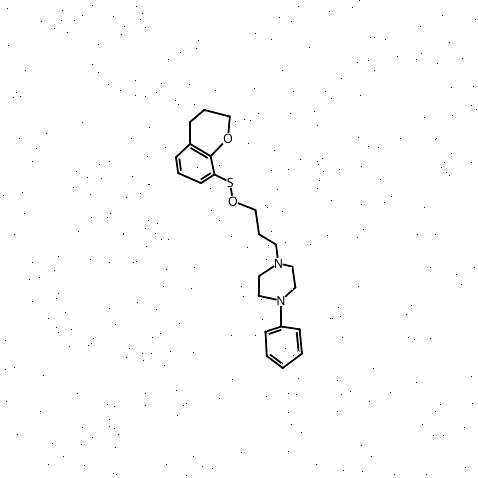 c1ccc(N2CCN(CCCOSc3cccc4c3OCCC4)CC2)cc1